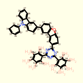 Bc1c(B)c(B)c(-c2nc(-c3ccc4oc5ccc(-c6ccc7c(c6)c6ccccc6n7-c6ccccc6)cc5c4c3)nc(-c3c(B)c(B)c(B)c(B)c3B)n2)c(B)c1B